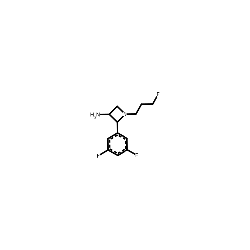 NC1CN(CCCF)C1c1cc(F)cc(F)c1